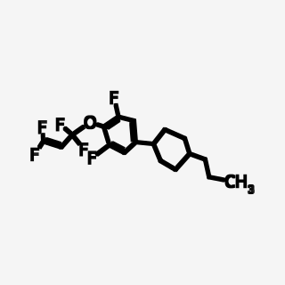 CCCC1CCC(c2cc(F)c(OC(F)(F)C=C(F)F)c(F)c2)CC1